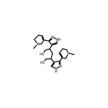 CN1CCC=C(c2n[nH]cc2C(CS)CC(CS)c2c[nH]nc2C2=CCCN(C)C2)C1